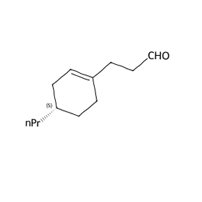 CCC[C@@H]1CC=C(CCC=O)CC1